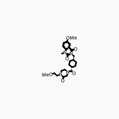 COCCN1CCN(C(=O)[C@H]2CC[C@H](Cn3c(=O)c4cc(OC)ccc4n(C)c3=O)CC2)CC1=O